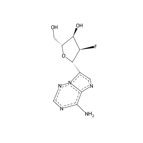 Nc1ncnn2c([C@@H]3O[C@H](CO)[C@@H](O)[C@H]3F)cnc12